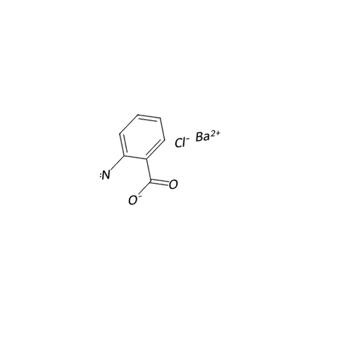 [Ba+2].[Cl-].[N]c1ccccc1C(=O)[O-]